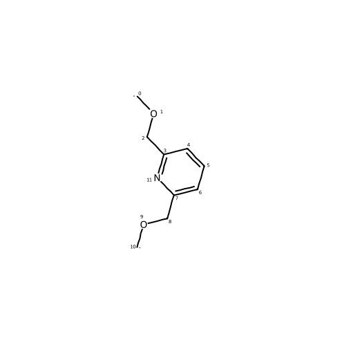 [CH2]OCc1cccc(CO[CH2])n1